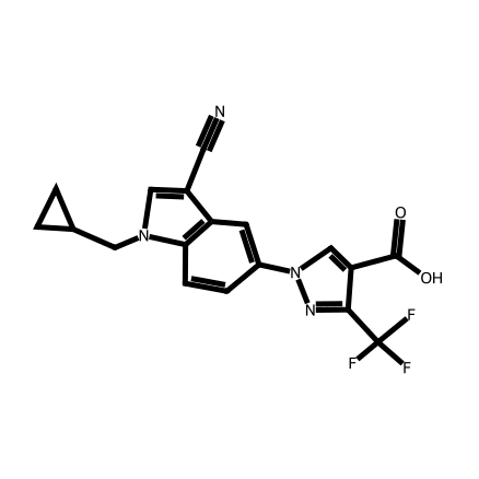 N#Cc1cn(CC2CC2)c2ccc(-n3cc(C(=O)O)c(C(F)(F)F)n3)cc12